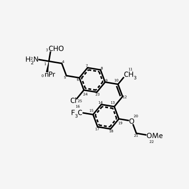 CCC[C@@](N)(C=O)CCc1ccc(/C(C)=C\c2cc(C(F)(F)F)ccc2OCOC)cc1Cl